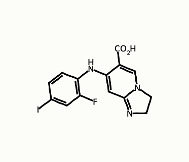 O=C(O)C1=CN2CCN=C2C=C1Nc1ccc(I)cc1F